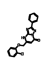 O=c1cc(COc2ccccc2Cl)[nH]c2nc(-c3ccccc3)nn12